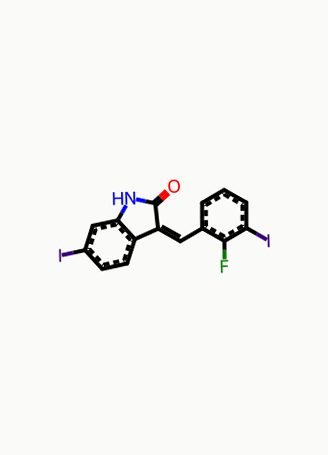 O=C1Nc2cc(I)ccc2C1=Cc1cccc(I)c1F